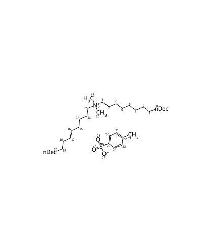 CCCCCCCCCCCCCCCCCC[N+](C)(C)CCCCCCCCCCCCCCCCCC.Cc1ccc(S(=O)(=O)[O-])cc1